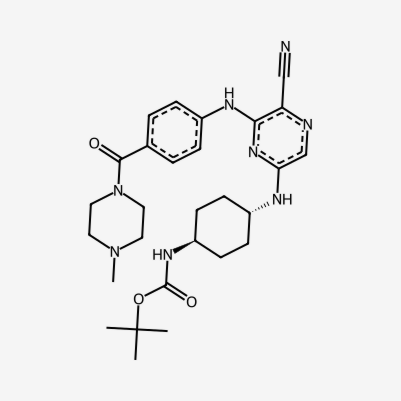 CN1CCN(C(=O)c2ccc(Nc3nc(N[C@H]4CC[C@H](NC(=O)OC(C)(C)C)CC4)cnc3C#N)cc2)CC1